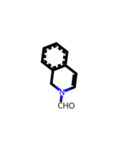 O=CN1C=Cc2ccccc2C1